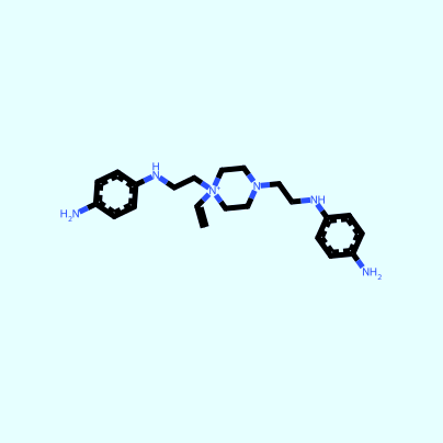 C=C[N+]1(CCNc2ccc(N)cc2)CCN(CCNc2ccc(N)cc2)CC1